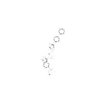 O=C(Cn1cnc(-c2ccc(-c3ccccc3)cc2)c1)Nc1n[nH]c2ccc(N3CCCS3(=O)=O)cc12